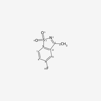 CC1=NS(=O)(=O)c2ccc(F)cc21